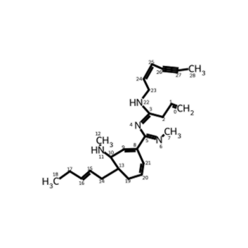 C=CC/C(=N\C(=N/C)C1=CC(NC)C(C/C=C/CC)CC=C1)NC/C=C\C#CC